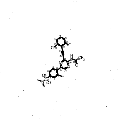 Cc1cc(S(=O)(=O)N(C)C)ccc1-c1cnc(NC(=O)C(F)(F)F)c(C#Cc2c(F)cccc2Cl)n1